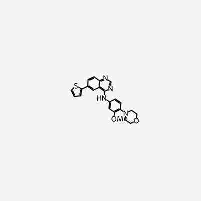 COc1cc(Nc2ncnc3ccc(-c4cccs4)cc23)ccc1N1CCOCC1